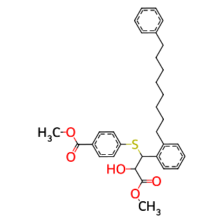 COC(=O)c1ccc(SC(c2ccccc2CCCCCCCCc2ccccc2)C(O)C(=O)OC)cc1